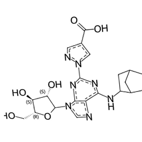 O=C(O)c1cnn(-c2nc(NC3CC4CCC3C4)c3ncn(C4O[C@H](CO)[C@@H](O)[C@@H]4O)c3n2)c1